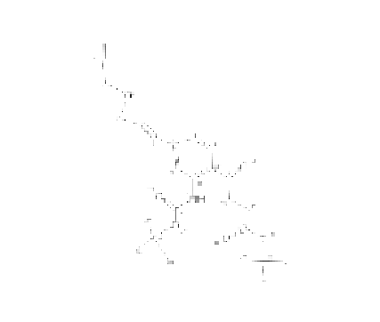 C#CCOCC#Cc1ccc(C(=O)CCC(=O)OC(C)(C)C)c(NC(=O)OC(C)(C)C)c1